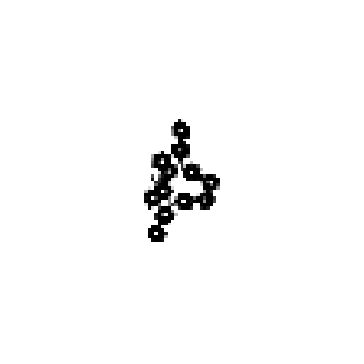 c1ccc(-c2ccc(N(c3ccc(-c4ccccc4)cc3)c3cc4c5cc(N(c6ccc(-c7ccccc7)cc6)c6ccc(-c7ccccc7)cc6)c6ccccc6c5oc4c4ccccc34)cc2)cc1